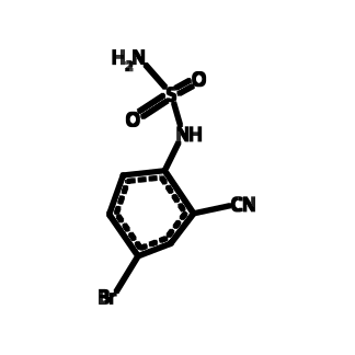 N#Cc1cc(Br)ccc1NS(N)(=O)=O